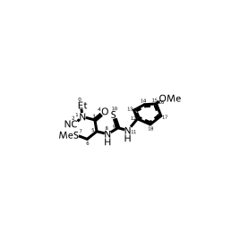 CCN(C#N)C(=O)C(CSC)NC(=S)Nc1ccc(OC)cc1